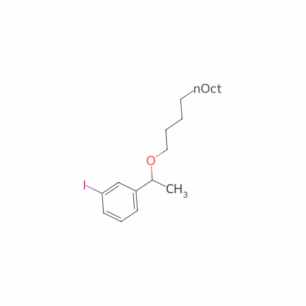 CCCCCCCCCCCCOC(C)c1cccc(I)c1